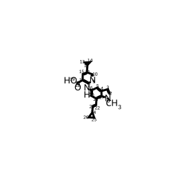 Cn1ccc2cc(Nc3ncc(C4CC4)cc3C(=O)O)cc(C=CC3CC3)c21